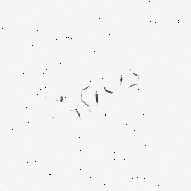 CCC(C(=O)O)c1csc2cc(C=Cc3ccc(C)nc3C)ccc12